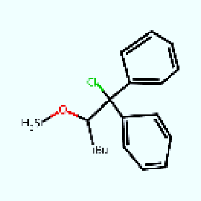 CCC(C)C(O[SiH3])C(Cl)(c1ccccc1)c1ccccc1